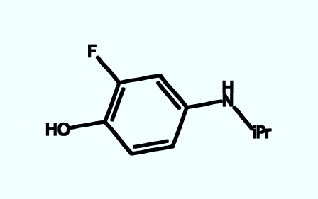 CC(C)Nc1ccc(O)c(F)c1